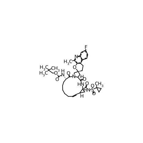 Cc1nc2cc(F)ccc2c2c1O[C@]1(CC2)C[C@H]2C(=O)N[C@]3(C(=O)NS(=O)(=O)C4(C)CC4)C[C@H]3/C=C\CCCCC[C@H](NC(=O)OCC(C)(C)C)C(=O)N2C1